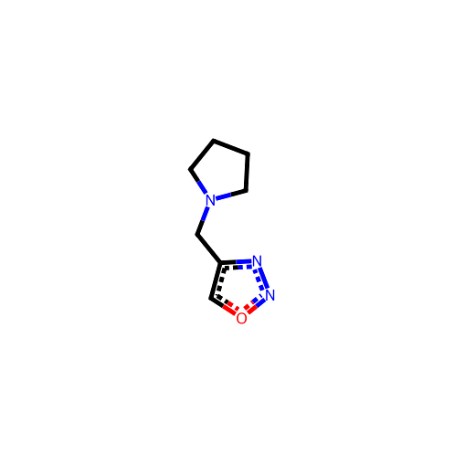 c1onnc1CN1CCCC1